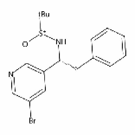 CC(C)(C)[S+]([O-])N[C@H](Cc1ccccc1)c1cncc(Br)c1